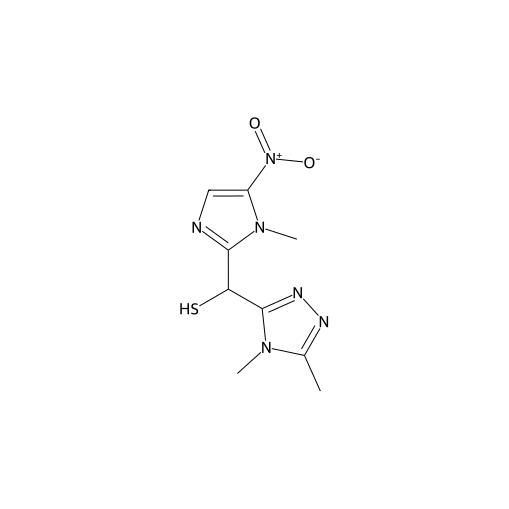 Cc1nnc(C(S)c2ncc([N+](=O)[O-])n2C)n1C